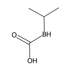 CC(C)BC(=O)O